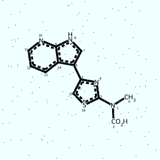 CN(C(=O)O)c1nc(-c2c[nH]c3ncccc23)cs1